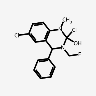 CN1c2ccc(Cl)cc2C(c2ccccc2)N(CF)C1(O)Cl